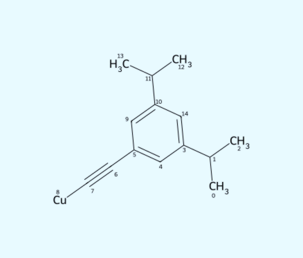 CC(C)c1cc(C#[C][Cu])cc(C(C)C)c1